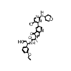 CCOc1cccc([C@@H](CO)NC(=O)[C@@H](C)N2Cc3ncc(-c4nc(NC5CCOCC5)ncc4Cl)cc3C2=O)c1